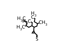 CCCC(C)CC(CC)C(CC(C)CCC)C1CC1C=S